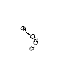 C(#Cc1ccc(CN2CCC(Cc3ccccc3)CC2)cc1)CCN1CCCCC1